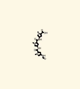 Cn1cc(NC(=O)c2cc(NC(=O)c3cc(NC=O)cn3C)cn2C)cc1C(=O)O